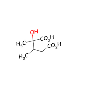 CC(CC(=O)O)C(C)(O)C(=O)O